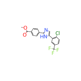 COC(=O)c1ccc(-c2ncc(-c3cc(C(F)(F)F)ccc3Cl)[nH]2)cc1